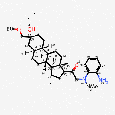 CCOC[C@@]1(O)CC[C@H]2[C@@H](CC[C@@H]3[C@@H]2CC[C@]2(C)[C@@H](C(=O)CN(NC)c4ccccc4N)CC[C@@H]32)C1